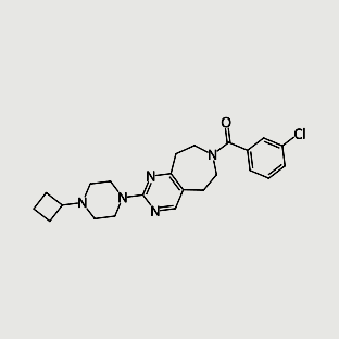 O=C(c1cccc(Cl)c1)N1CCc2cnc(N3CCN(C4CCC4)CC3)nc2CC1